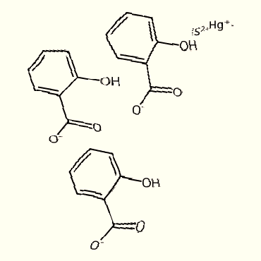 O=C([O-])c1ccccc1O.O=C([O-])c1ccccc1O.O=C([O-])c1ccccc1O.[Hg+].[S+2]